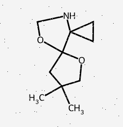 CC1(C)COC2(C1)OCNC21CC1